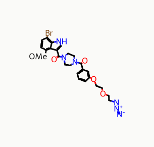 COc1ccc(Br)c2[nH]cc(C(=O)N3CCN(C(=O)c4cccc(OCCOCCN=[N+]=[N-])c4)CC3)c12